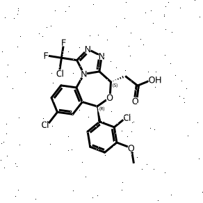 COc1cccc([C@@H]2O[C@@H](CC(=O)O)c3nnc(C(F)(F)Cl)n3-c3ccc(Cl)cc32)c1Cl